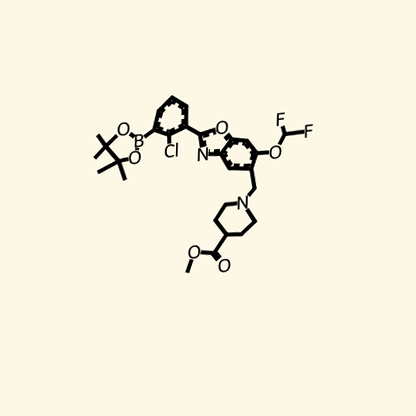 COC(=O)C1CCN(Cc2cc3nc(-c4cccc(B5OC(C)(C)C(C)(C)O5)c4Cl)oc3cc2OC(F)F)CC1